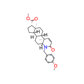 COC(=O)[C@H]1CC[C@H]2[C@@H]3CC[C@H]4N(Cc5ccc(OC)cc5)C(=O)C=C[C@]4(C)[C@H]3CC[C@]12C